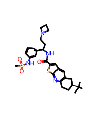 CC(C)(C)[C@H]1CCc2nc3sc(C(=O)NC(CCN4CCC4)c4cccc(NS(C)(=O)=O)c4)cc3cc2C1